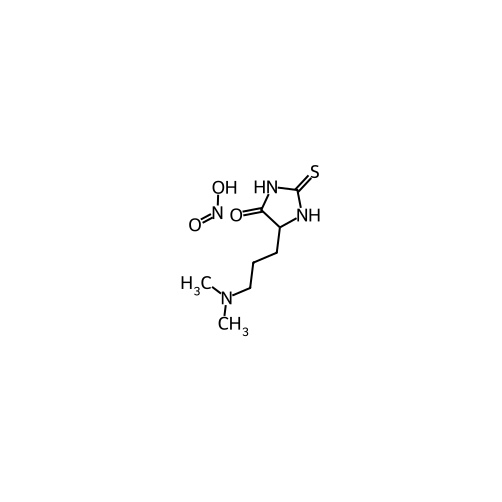 CN(C)CCCC1NC(=S)NC1=O.O=NO